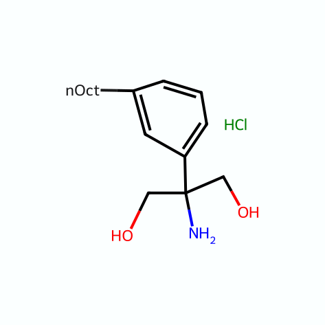 CCCCCCCCc1cccc(C(N)(CO)CO)c1.Cl